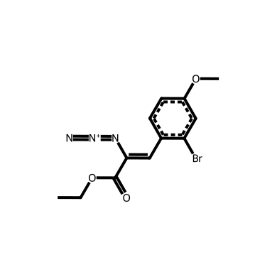 CCOC(=O)C(=Cc1ccc(OC)cc1Br)N=[N+]=[N-]